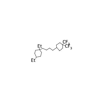 CCC1CCC(CC)(CCCCC2CCC(C(F)(F)F)(C(F)(F)F)CC2)CC1